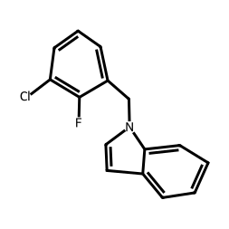 Fc1c(Cl)cccc1Cn1ccc2ccccc21